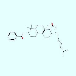 CC(C)CCC[C@@H](C)[C@H]1CC(=O)[C@@]2(C)C3=C(CC[C@]12C)[C@@]1(C)CC[C@H](OC(=O)c2ccccc2)C(C)(C)C1CC3